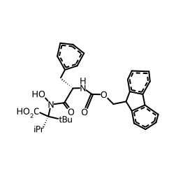 CC(C)[C@](C(=O)O)(N(O)C(=O)[C@H](Cc1ccccc1)NC(=O)OCC1c2ccccc2-c2ccccc21)C(C)(C)C